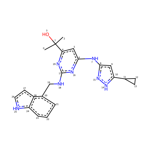 CC(C)(O)c1cc(Nc2cc(C3CC3)[nH]n2)nc(NCc2cccc3[nH]ccc23)n1